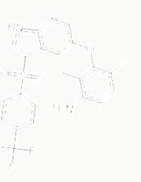 Cc1c[c]c(N)c(C)c1Oc1ccc2[nH]cc(S(=O)(=O)c3ccc(C(F)(F)F)cc3)c2c1